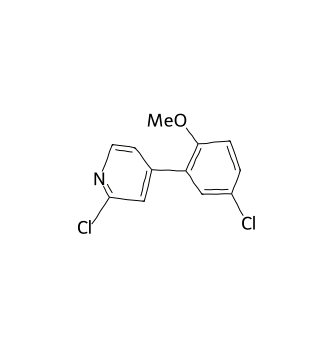 COc1ccc(Cl)cc1-c1ccnc(Cl)c1